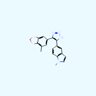 Cc1cc(-c2nn[nH]c2-c2ccc3c(ccn3C)c2)cc2c1OCO2